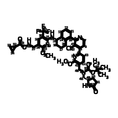 COc1nc(-c2ccnc(-c3cccc4c3CCC[C@@H]4Nc3nc(OC)c(CNOC(=O)C4CC4)cc3C(F)(F)F)c2Cl)ccc1CN(C[C@@H]1CCC(=O)N1)C(=O)OC(C)(C)C